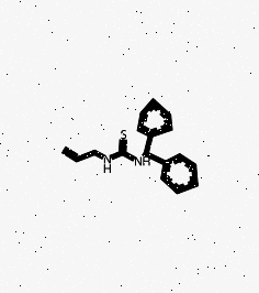 C=CCNC(=S)NC(c1ccccc1)c1ccccc1